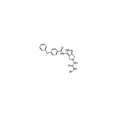 CC(C)NC(=O)NN1Cc2n[nH]c(NC(=O)c3ccc(Oc4ccccc4)cc3)c2C1